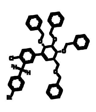 [2H]C([2H])(c1ccc(CC)cc1)c1cc(C2=C[C@H](COCc3ccccc3)[C@@H](OCc3ccccc3)[C@H](OCc3ccccc3)[C@H]2OCc2ccccc2)ccc1Cl